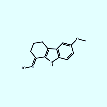 COc1ccc2[nH]c3c(c2c1)CCCC3=NO